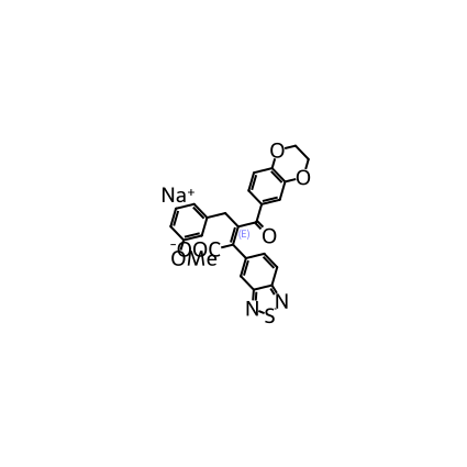 COc1cccc(C/C(C(=O)c2ccc3c(c2)OCCO3)=C(\C(=O)[O-])c2ccc3nsnc3c2)c1.[Na+]